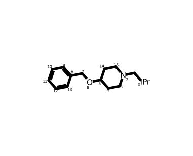 CC(C)CN1CCC(OCc2ccccc2)CC1